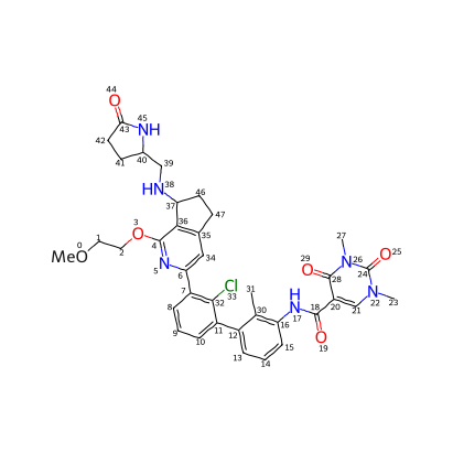 COCCOc1nc(-c2cccc(-c3cccc(NC(=O)c4cn(C)c(=O)n(C)c4=O)c3C)c2Cl)cc2c1C(NCC1CCC(=O)N1)CC2